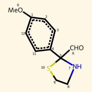 COc1ccc(C2(C=O)NCCS2)cc1